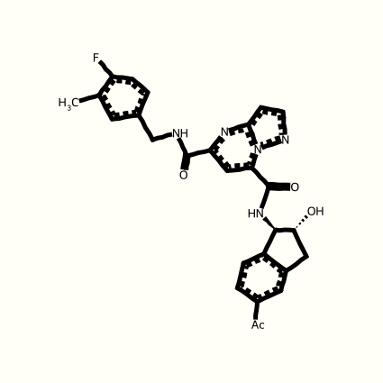 CC(=O)c1ccc2c(c1)C[C@@H](O)[C@@H]2NC(=O)c1cc(C(=O)NCc2ccc(F)c(C)c2)nc2ccnn12